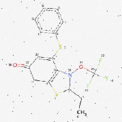 CCC1SC2=C(C(Sc3ccccc3)=CC(=O)C2)N1OC(F)(F)F